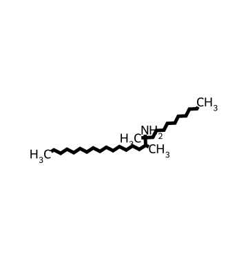 CCCCCCCCCCCCCCCC(C)C(C)(N)CCCCCCCCCC